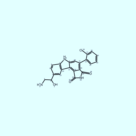 NCC(O)c1ccc2[nH]c3cc(-c4ccccc4Cl)c4c(c3c2c1)C(=O)NC4=O